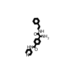 NC(C(=O)NC=Cc1ccccc1)c1ccc(C(=O)Nc2ccncc2)cc1